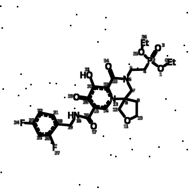 CCOP(=O)(CCN1CC2(CCOC2)n2cc(C(=O)NCc3ccc(F)cc3F)c(=O)c(O)c2C1=O)OCC